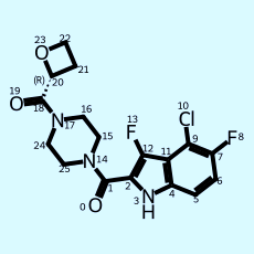 O=C(c1[nH]c2ccc(F)c(Cl)c2c1F)N1CCN(C(=O)[C@H]2CCO2)CC1